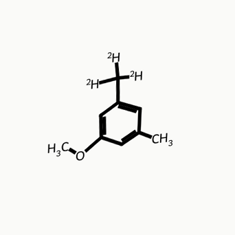 [2H]C([2H])([2H])c1cc(C)cc(OC)c1